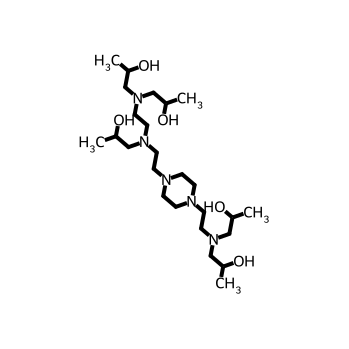 CC(O)CN(CCN1CCN(CCN(CC(C)O)CC(C)O)CC1)CCN(CC(C)O)CC(C)O